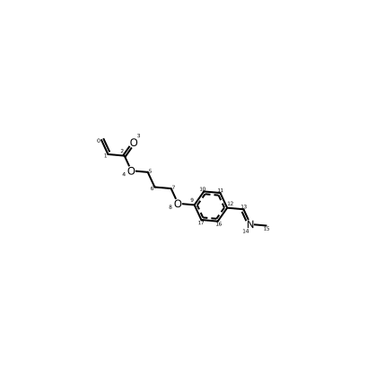 C=CC(=O)OCCCOc1ccc(C=NC)cc1